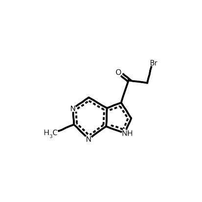 Cc1ncc2c(C(=O)CBr)c[nH]c2n1